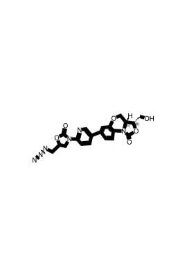 [N-]=[N+]=NCC1CN(c2ccc(-c3ccc4c(c3)OC[C@H]3[C@H](CO)OC(=O)N43)cn2)C(=O)O1